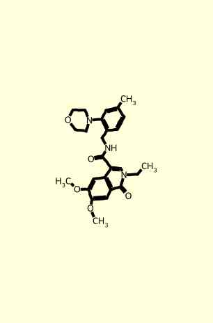 CCn1cc(C(=O)NCc2ccc(C)cc2N2CCOCC2)c2cc(OC)c(OC)cc2c1=O